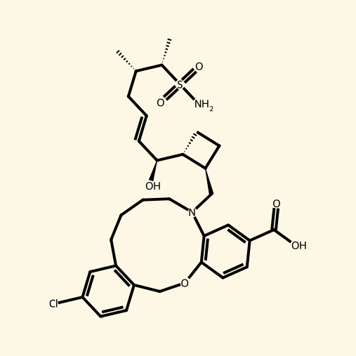 C[C@@H](C/C=C/[C@H](O)[C@@H]1CC[C@H]1CN1CCCCc2cc(Cl)ccc2COc2ccc(C(=O)O)cc21)[C@H](C)S(N)(=O)=O